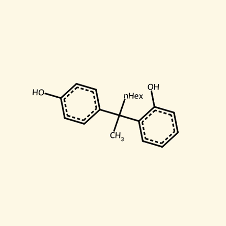 CCCCCCC(C)(c1ccc(O)cc1)c1ccccc1O